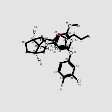 CCCn1nc(N[C@@H]2[C@@H]3CC[C@H]2CN(c2ccnc(OC)c2)C3)nc1Oc1ccc(F)c(Cl)c1